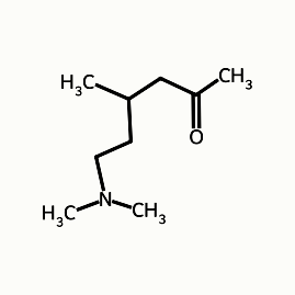 CC(=O)CC(C)CCN(C)C